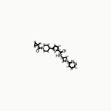 CC1(C(=O)N2CCC(c3ccc(C(=O)NC4CN(c5cccnn5)C4)s3)CC2)CC1